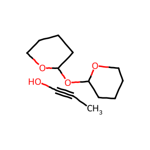 C1CCC(OC2CCCCO2)OC1.CC#CO